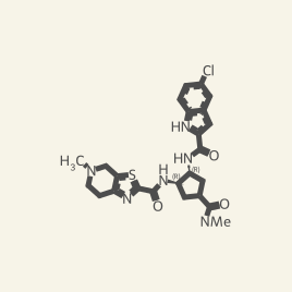 CNC(=O)C1C[C@@H](NC(=O)c2cc3cc(Cl)ccc3[nH]2)[C@H](NC(=O)c2nc3c(s2)CN(C)CC3)C1